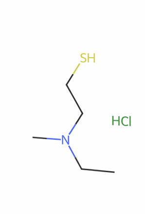 CCN(C)CCS.Cl